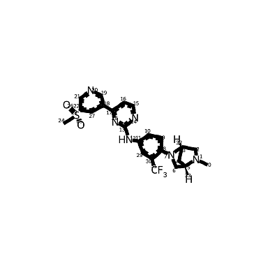 CN1C[C@@H]2C[C@H]1CN2c1ccc(Nc2nccc(-c3cncc(S(C)(=O)=O)c3)n2)cc1C(F)(F)F